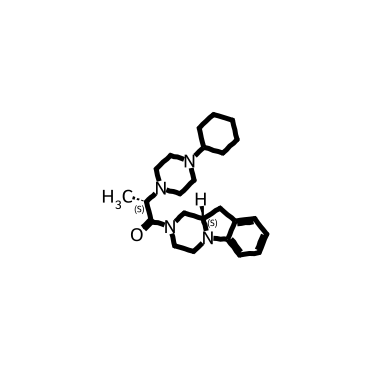 C[C@@H](C(=O)N1CCN2c3ccccc3C[C@H]2C1)N1CCN(C2CCCCC2)CC1